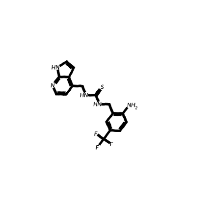 Nc1ccc(C(F)(F)F)cc1CNC(=S)NCc1ccnc2[nH]ccc12